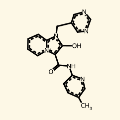 Cc1ccc(NC(=O)c2c(O)n(Cc3cncnc3)c3cccc[n+]23)nc1